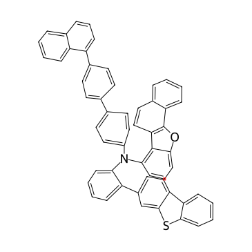 c1ccc(N(c2ccc(-c3ccc(-c4cccc5ccccc45)cc3)cc2)c2cccc3oc4c5ccccc5ccc4c23)c(-c2ccc3c(c2)sc2ccccc23)c1